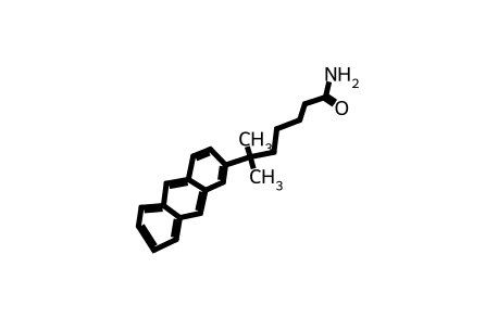 CC(C)(CCCCC(N)=O)c1ccc2cc3ccccc3cc2c1